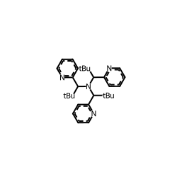 CC(C)(C)C(c1ccccn1)N(C(c1ccccn1)C(C)(C)C)C(c1ccccn1)C(C)(C)C